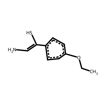 CCOc1ccc(/C(S)=C/N)cc1